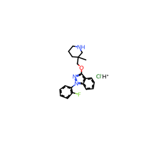 CC1(COc2nn(-c3ccccc3F)c3ccccc23)CCCNC1.[Cl-].[H+]